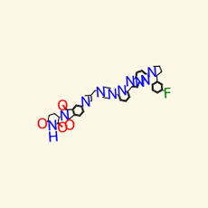 O=C1CCC(N2C(=O)c3ccc(N4CC(CN5CCN(c6cccc(-c7cn8nc(N9CCCC9c9cccc(F)c9)ccc8n7)n6)CC5)C4)cc3C2=O)C(=O)N1